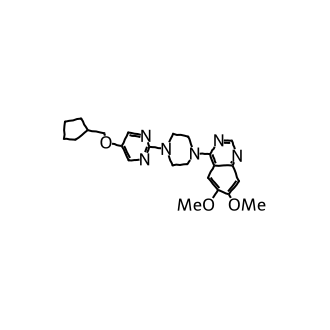 COc1cc2ncnc(N3CCN(c4ncc(OCC5CCCC5)cn4)CC3)c2cc1OC